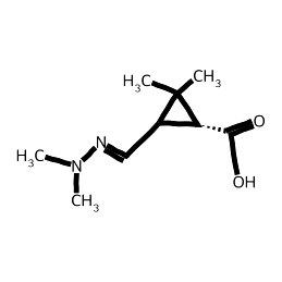 CN(C)/N=C/C1[C@@H](C(=O)O)C1(C)C